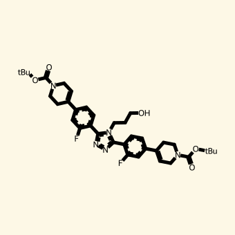 CC(C)(C)OC(=O)N1CC=C(c2ccc(-c3nnc(-c4ccc(C5=CCN(C(=O)OC(C)(C)C)CC5)cc4F)n3CCCO)c(F)c2)CC1